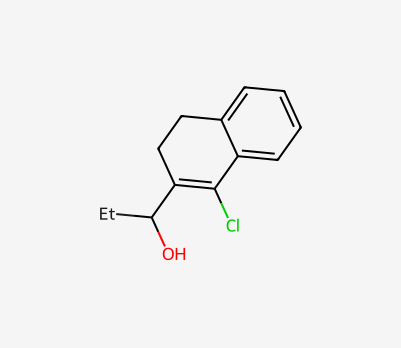 CCC(O)C1=C(Cl)c2ccccc2CC1